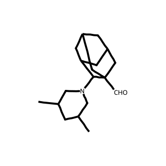 CC1CC(C)CN(C2C3CC4CC(C3)CC2(C=O)C4)C1